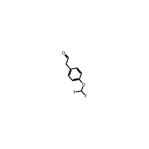 O=C[CH]c1ccc(OC(F)F)cc1